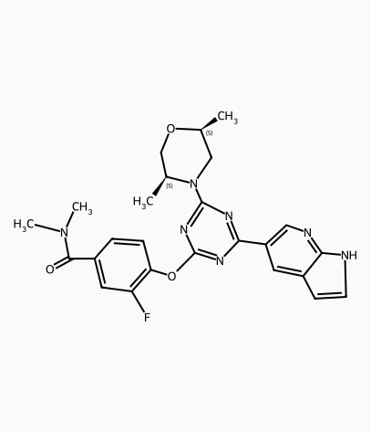 C[C@H]1CN(c2nc(Oc3ccc(C(=O)N(C)C)cc3F)nc(-c3cnc4[nH]ccc4c3)n2)[C@@H](C)CO1